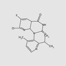 Cc1ccnc(C(C)C)c1N1C(=O)NC(=O)C2C=C(F)C(Cl)=NC21